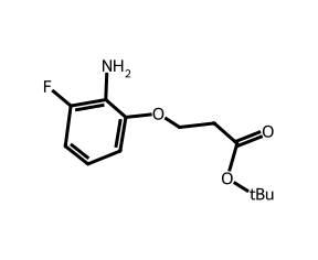 CC(C)(C)OC(=O)CCOc1cccc(F)c1N